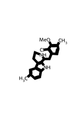 COc1c(C)ccc(CC2NCCc3c2[nH]c2ccc(C)cc32)c1Cl